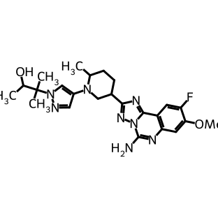 COc1cc2nc(N)n3nc(C4CCC(C)N(c5cnn(C(C)(C)C(C)O)c5)C4)nc3c2cc1F